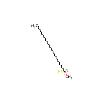 CCCCCCCCCCCCCCCCCCCCCCCCCCCCCCC(S)C(=O)OCC